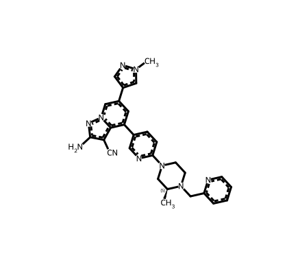 C[C@H]1CN(c2ccc(-c3cc(-c4cnn(C)c4)cn4nc(N)c(C#N)c34)cn2)CCN1Cc1ccccn1